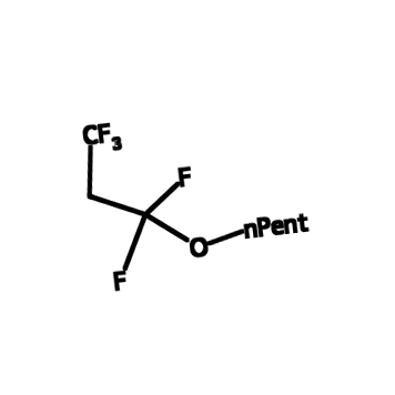 [CH2]CCCCOC(F)(F)CC(F)(F)F